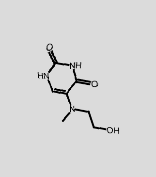 CN(CCO)c1c[nH]c(=O)[nH]c1=O